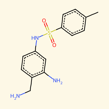 Cc1ccc(S(=O)(=O)Nc2ccc(CN)c(N)c2)cc1